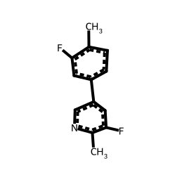 Cc1ccc(-c2cnc(C)c(F)c2)cc1F